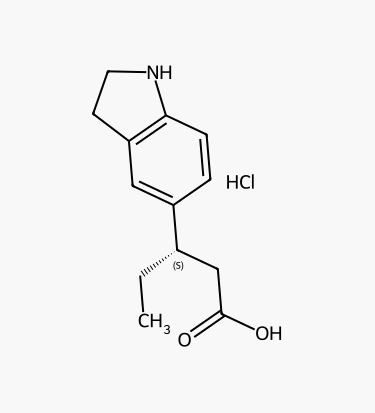 CC[C@@H](CC(=O)O)c1ccc2c(c1)CCN2.Cl